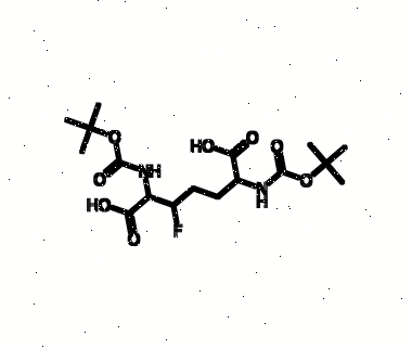 CC(C)(C)OC(=O)NC(CCC(F)C(NC(=O)OC(C)(C)C)C(=O)O)C(=O)O